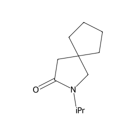 CC(C)N1CC2(CCCC2)CC1=O